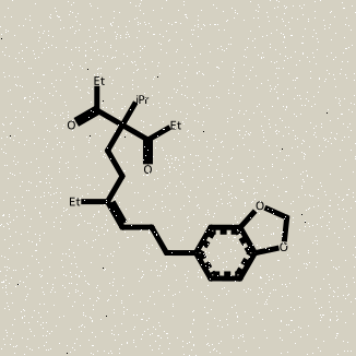 CCC(=O)C(CCC(=CCCc1ccc2c(c1)OCO2)CC)(C(=O)CC)C(C)C